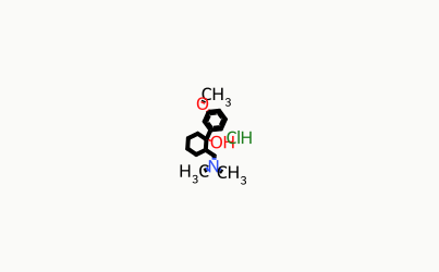 COc1cccc([C@]2(O)CCCCC2CN(C)C)c1.Cl